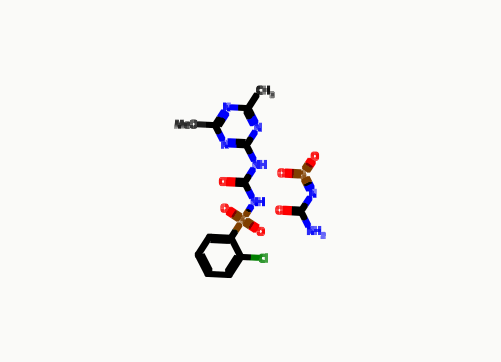 COc1nc(C)nc(NC(=O)NS(=O)(=O)c2ccccc2Cl)n1.NC(=O)N=S(=O)=O